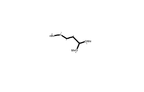 CCCCSC[CH]C(OC)OC